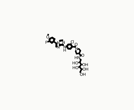 COc1ccc(-c2cnc3c(Nc4ccc(C(=O)N5CCC(C(=O)NC[C@H](O)[C@@H](O)[C@H](O)[C@H](O)CO)CC5)c(Cl)c4)nccn23)cc1F